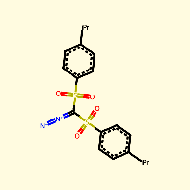 CC(C)c1ccc(S(=O)(=O)C(=[N+]=[N-])S(=O)(=O)c2ccc(C(C)C)cc2)cc1